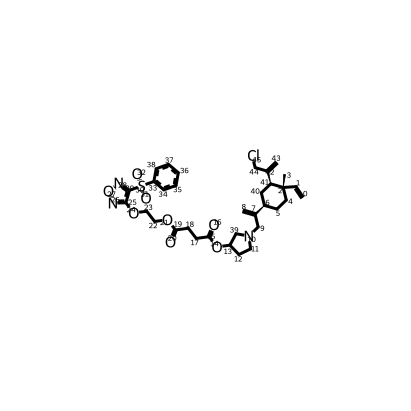 C=C[C@]1(C)CC[C@@H](C(=C)CN2CCC(OC(=O)CCC(=O)OCCOc3nonc3S(=O)(=O)c3ccccc3)C2)C[C@H]1C(=C)CCl